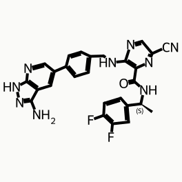 C[C@H](NC(=O)c1nc(C#N)cnc1NCc1ccc(-c2cnc3[nH]nc(N)c3c2)cc1)c1ccc(F)c(F)c1